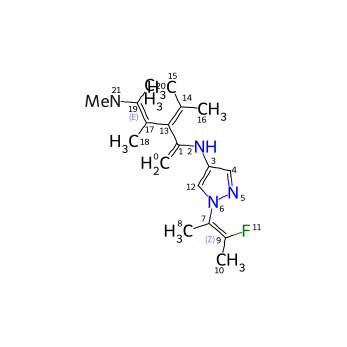 C=C(Nc1cnn(/C(C)=C(/C)F)c1)C(=C(C)C)/C(C)=C(\C)NC